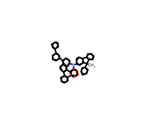 CC1(c2ccccc2)c2ccccc2-c2ccc(N(c3ccc(-c4cccc(-c5ccccc5)c4)cc3)c3ccccc3-c3ccccc3-c3ccccc3-c3ccccc3)cc21